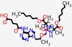 CCCCCCOC(=O)C(C)(C)NP(=O)(CO[C@H](C)Cn1cnc2c(NC(=O)CCCC(=O)O)ncnc21)NC(C)(C)C(=O)OCCCCCC